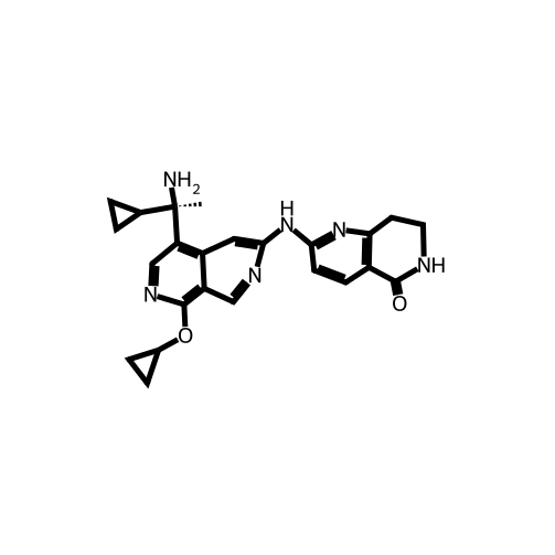 C[C@](N)(c1cnc(OC2CC2)c2cnc(Nc3ccc4c(n3)CCNC4=O)cc12)C1CC1